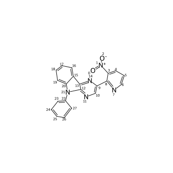 O=[N+]([O-])c1cccnc1-c1cnc2c(n1)c1ccccc1n2-c1ccccc1